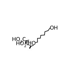 C=C(C)C(=O)O.C=C(C)C(=O)O.OCCCCCCCCO